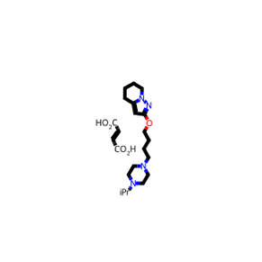 CC(C)N1CCN(CCCCOc2cc3n(n2)CCCC3)CC1.O=C(O)C=CC(=O)O